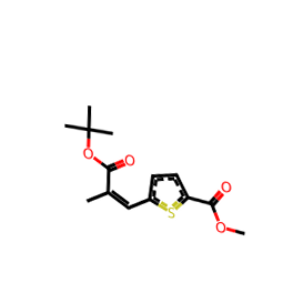 COC(=O)c1ccc(/C=C(/C)C(=O)OC(C)(C)C)s1